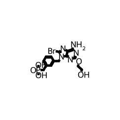 Nc1nc(OCCO)nc2c1nc(Br)n2Cc1cccc(CP(=O)(O)O)c1